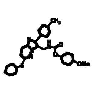 COc1ccc(OC(=O)NCc2c(-c3ccc(C)cc3)nc3ccc(Sc4ccccc4)nn23)cc1